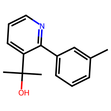 Cc1cccc(-c2ncccc2C(C)(C)O)c1